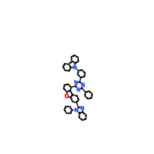 c1ccc(-c2nc(-c3cccc(-n4c5ccccc5c5ccccc54)c3)nc(-c3cccc4oc5cc(-c6nc7ccccc7n6-c6ccccc6)ccc5c34)n2)cc1